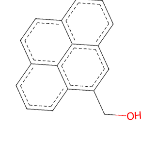 OCc1cc2cccc3ccc4cccc1c4c32